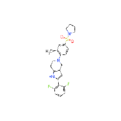 Cc1cc(S(=O)(=O)N2CCCC2)ccc1N1CCc2[nH]c(-c3c(F)cccc3F)cc2C1